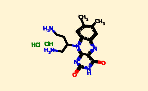 Cc1cc2nc3c(=O)[nH]c(=O)nc-3n(C(CN)CCN)c2cc1C.Cl.Cl